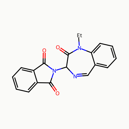 CCN1C(=O)C(N2C(=O)c3ccccc3C2=O)N=Cc2ccccc21